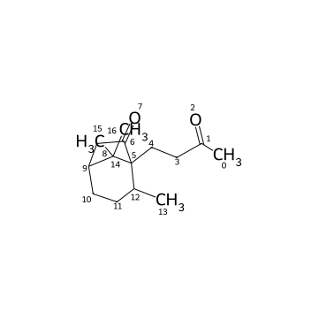 CC(=O)CCC12C(=O)CC(CCC1C)C2(C)C